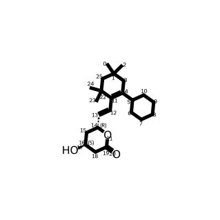 CC1(C)CC(C2CCCCC2)=C(C=C[C@H]2C[C@H](O)CC(=O)O2)C(C)(C)C1